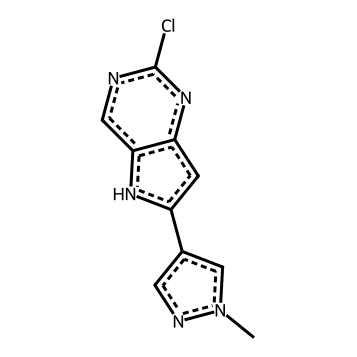 Cn1cc(-c2cc3nc(Cl)ncc3[nH]2)cn1